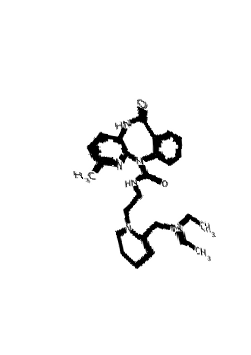 CCN(CC)CC1CCCCN1CCNC(=O)N1c2ccccc2C(=O)Nc2ccc(C)nc21